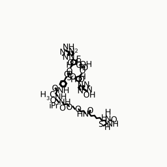 CC(C)[C@H](NC(=O)COCCOCCNC(=O)CCCCC1SC[C@@H]2NC(=O)N[C@H]12)C(=O)N[C@@H](C)C(=O)Nc1ccc(CSP2(=O)OC[C@H]3O[C@@H](n4cnc5c(N)ncnc54)[C@H](F)[C@@H]3OP(=O)(O)OC[C@H]3O[C@@H](n4cnc5c(O)ncnc54)C[C@@H]3O2)cc1